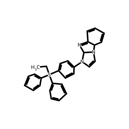 CCS(c1ccccc1)(c1ccccc1)c1ccc(N2C=CN3C4C=CC=CC4=NC23)cc1